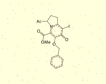 COC(=O)c1c(OCc2ccccc2)c(=O)c(I)c2n1C(C(C)=O)CC2